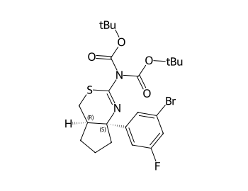 CC(C)(C)OC(=O)N(C(=O)OC(C)(C)C)C1=N[C@@]2(c3cc(F)cc(Br)c3)CCC[C@H]2CS1